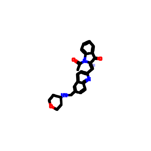 CC(=O)N1/C(=C\c2ccc3cc(CNC4CCOCC4)ccc3n2)C(=O)c2ccccc21